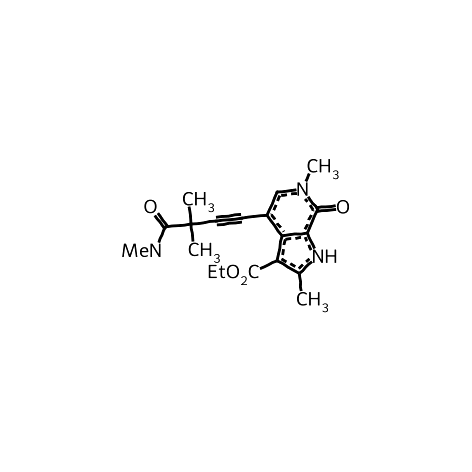 CCOC(=O)c1c(C)[nH]c2c(=O)n(C)cc(C#CC(C)(C)C(=O)NC)c12